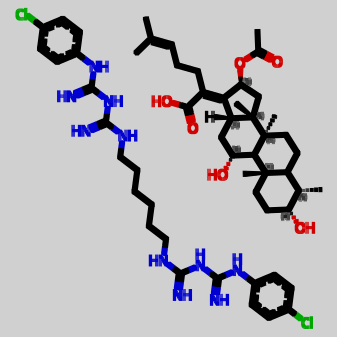 CC(=O)O[C@H]1C[C@@]2(C)[C@H](C[C@@H](O)C3[C@@]4(C)CC[C@@H](O)[C@@H](C)C4CC[C@@]32C)C1=C(CCC=C(C)C)C(=O)O.N=C(NCCCCCCNC(=N)NC(=N)Nc1ccc(Cl)cc1)NC(=N)Nc1ccc(Cl)cc1